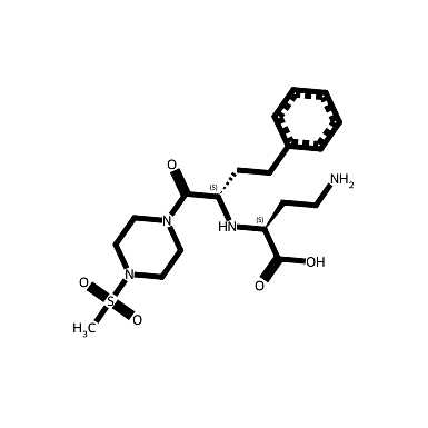 CS(=O)(=O)N1CCN(C(=O)[C@H](CCc2ccccc2)N[C@@H](CCN)C(=O)O)CC1